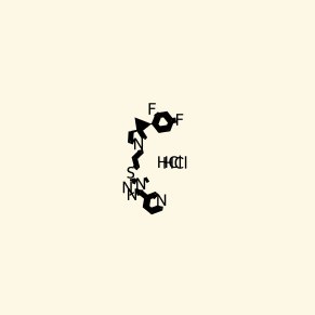 Cl.Cl.Cn1c(SCCCN2CC[C@]3(C[C@@H]3c3ccc(F)cc3F)C2)nnc1-c1cccnc1